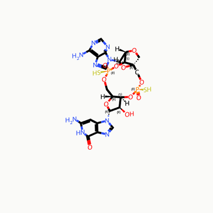 Nc1cc2c(ncn2[C@@H]2O[C@@H]3CO[P@@](=O)(S)O[C@H]4[C@H]5OC[C@]4(CO[P@@](=O)(S)O[C@H]3[C@H]2O)O[C@H]5n2cnc3c(N)ncnc32)c(=O)[nH]1